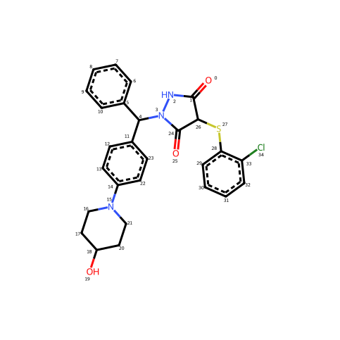 O=C1NN(C(c2ccccc2)c2ccc(N3CCC(O)CC3)cc2)C(=O)C1Sc1ccccc1Cl